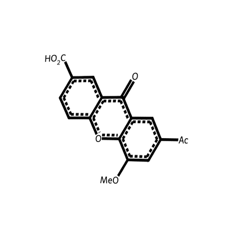 COc1cc(C(C)=O)cc2c(=O)c3cc(C(=O)O)ccc3oc12